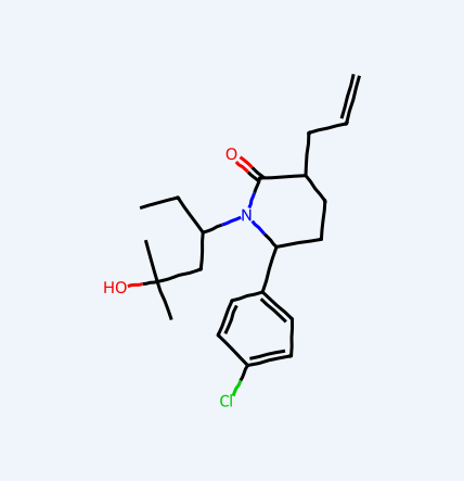 C=CCC1CCC(c2ccc(Cl)cc2)N(C(CC)CC(C)(C)O)C1=O